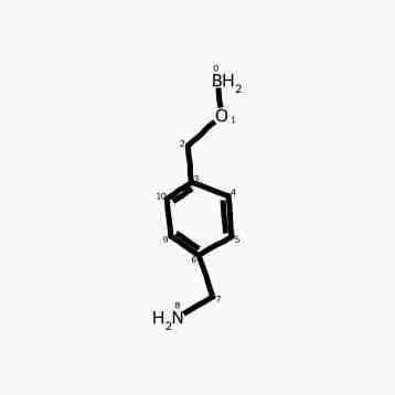 BOCc1ccc(CN)cc1